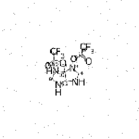 O=C(ON1CNC2NCNC21OC(=O)C(F)(F)F)C(F)(F)F